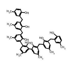 Cc1ccc(O)c(Cc2cc(C)cc(Cc3cc(C)cc(-c4cc(C)cc(-c5cc(C)cc(Cc6cc(C)cc(Cc7cc(C)ccc7O)c6O)c5O)c4O)c3O)c2O)c1